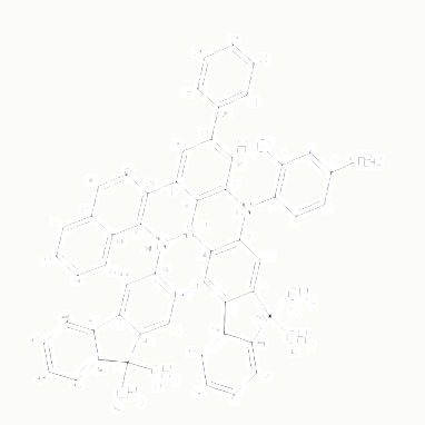 Cc1cc(C(C)(C)C)ccc1N1c2cc3c(cc2B2c4c(cc(-c5ccccc5)cc41)-c1ccc4ccccc4c1N2c1ccc2c(c1)-c1ccccc1C2(C)C)-c1ccccc1C3(C)C